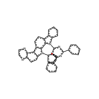 c1ccc(-c2nc(-c3ccccc3)nc(-n3c4ccccc4c4ccc5c6c7nccnc7ccc6n(-c6ccccc6)c5c43)n2)cc1